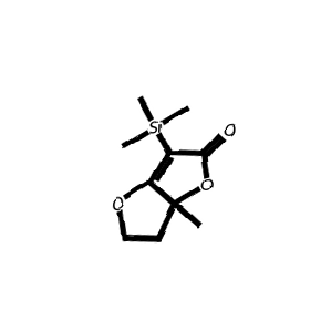 CC12CCOC1=C([Si](C)(C)C)C(=O)O2